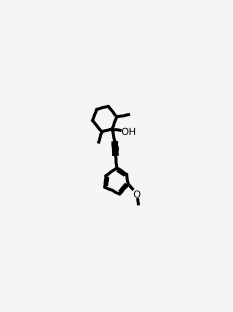 COc1cccc(C#CC2(O)C(C)CCCC2C)c1